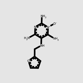 Nc1nc(N)[n+]([O-])c(N)c1NCc1ccco1